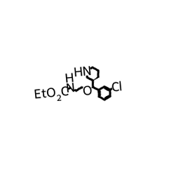 CCOC(=O)NCCO[C@@H](c1cccc(Cl)c1)[C@@H]1CCCNC1